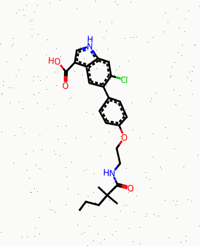 CCCC(C)(C)C(=O)NCCOc1ccc(-c2cc3c(C(=O)O)c[nH]c3cc2Cl)cc1